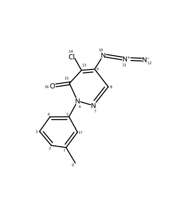 Cc1cccc(-n2ncc(N=[N+]=[N-])c(Cl)c2=O)c1